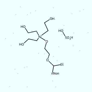 CCCCCCCCCC(CC)OCCO[N+](CCO)(CCO)CCO.O=S(=O)(O)O